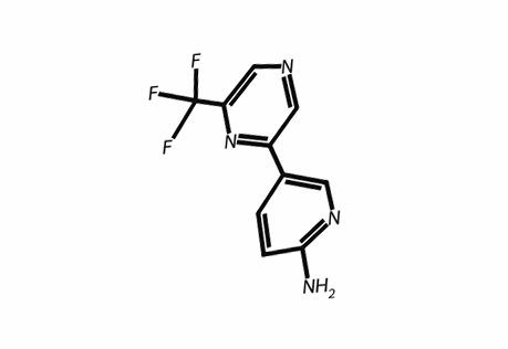 Nc1ccc(-c2cncc(C(F)(F)F)n2)cn1